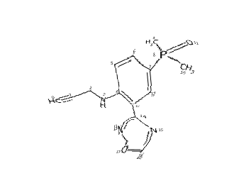 C#CCNc1ccc(P(C)(C)=O)cc1-c1ncon1